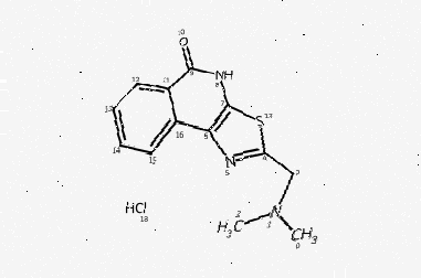 CN(C)Cc1nc2c([nH]c(=O)c3ccccc32)s1.Cl